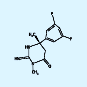 CN1C(=N)N[C@](C)(c2cc(F)cc(F)c2)CC1=O